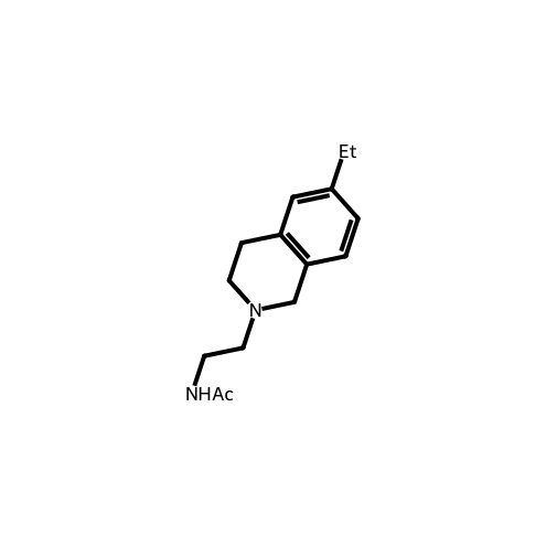 CCc1ccc2c(c1)CCN(CCNC(C)=O)C2